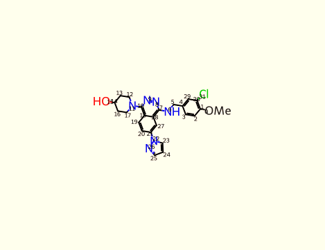 COc1ccc(CNc2nnc(N3CCC(O)CC3)c3ccc(-n4cccn4)cc23)cc1Cl